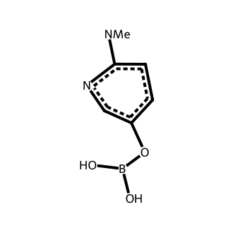 CNc1ccc(OB(O)O)cn1